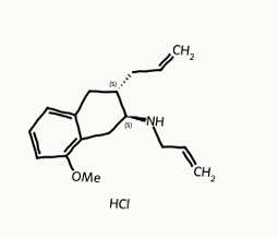 C=CCN[C@H]1Cc2c(cccc2OC)C[C@@H]1CC=C.Cl